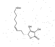 CCCCCCCCCCCCCC/C=C\CC[C@H]1OC(=O)C(O)=C1O